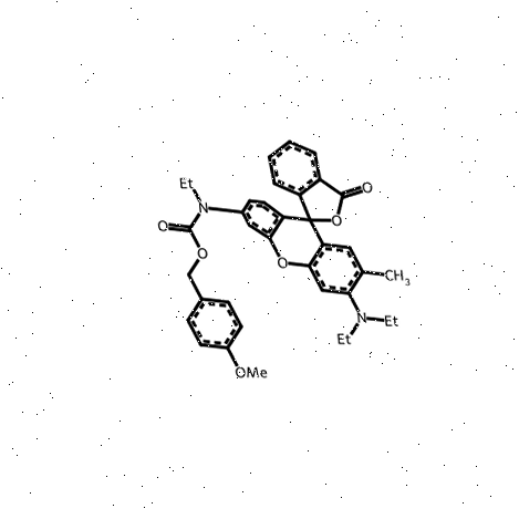 CCN(CC)c1cc2c(cc1C)C1(OC(=O)c3ccccc31)c1ccc(N(CC)C(=O)OCc3ccc(OC)cc3)cc1O2